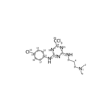 CN(C)CCCNc1nc(Nc2ccc(Cl)cc2)nc(C(Cl)(Cl)Cl)n1